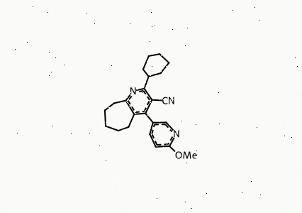 COc1ccc(-c2c(C#N)c(C3CCCCC3)nc3c2CCCCC3)cn1